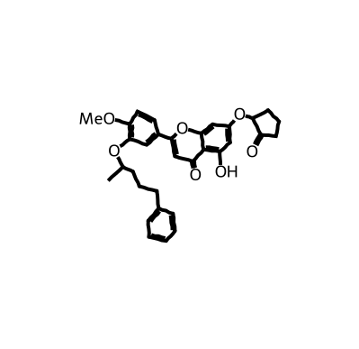 COc1ccc(-c2cc(=O)c3c(O)cc(OC4CCCC4=O)cc3o2)cc1OC(C)CCCc1ccccc1